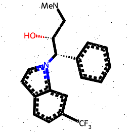 CNC[C@@H](O)[C@H](c1ccccc1)n1ccc2ccc(C(F)(F)F)cc21